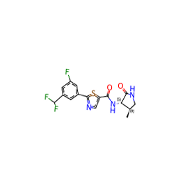 C[C@@H]1CNC(=O)[C@H]1NC(=O)c1cnc(-c2cc(F)cc(C(F)F)c2)s1